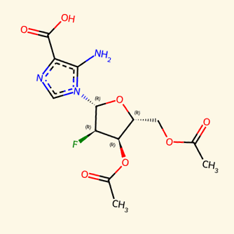 CC(=O)OC[C@H]1O[C@@H](n2cnc(C(=O)O)c2N)[C@H](F)[C@@H]1OC(C)=O